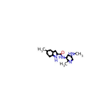 CNc1cnc(C)c(NC(=O)c2cc3cc(C)ccc3[nH]2)c1